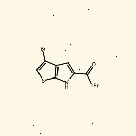 CCCC(=O)c1cc2c(Br)csc2[nH]1